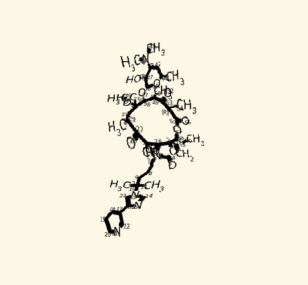 C=C[C@]12OC(=O)N(CCCC(C)(C)n3cnc(-c4cccnc4)c3)[C@@H]1[C@@H](C)C(=O)[C@H](C)C[C@](C)(OC)[C@H](OC1O[C@H](C)C[C@H](N(C)C)[C@H]1O)[C@@H](C)C(=O)[C@@H](C)C(=O)O[C@@H]2CC